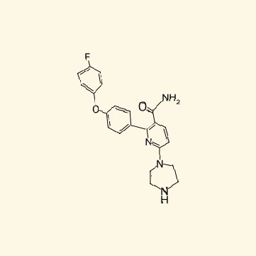 NC(=O)c1ccc(N2CCNCC2)nc1-c1ccc(Oc2ccc(F)cc2)cc1